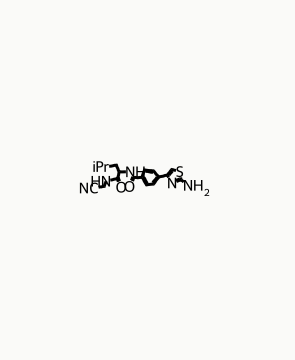 CC(C)CC(NC(=O)c1ccc(-c2csc(N)n2)cc1)C(=O)NCC#N